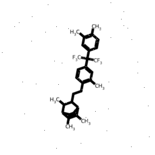 Cc1ccc(C(c2ccc(CCC3C(C)C4C=CC3C(C)C4C)c(C)c2)(C(F)(F)F)C(F)(F)F)cc1C